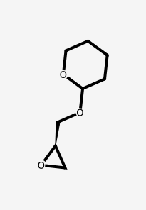 C1CCC(OC[C@H]2CO2)OC1